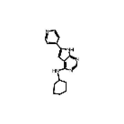 c1cc(-c2cc3c(NC4CCCCC4)ncnc3[nH]2)ccn1